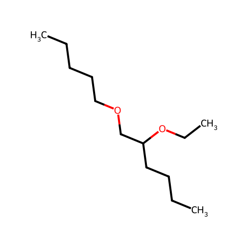 CCCCCOCC(CCCC)OCC